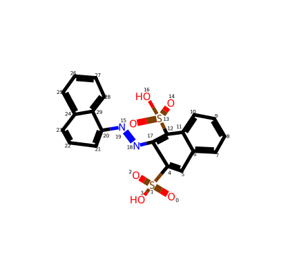 O=S(=O)(O)c1cc2ccccc2c(S(=O)(=O)O)c1N=Nc1cccc2ccccc12